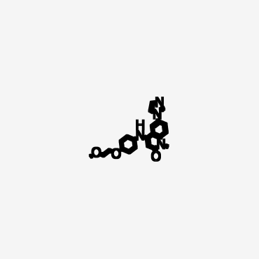 COCCOC1CCC(Nc2cc(=O)n(C)c3ccc(-n4ccnc4)cc23)CC1